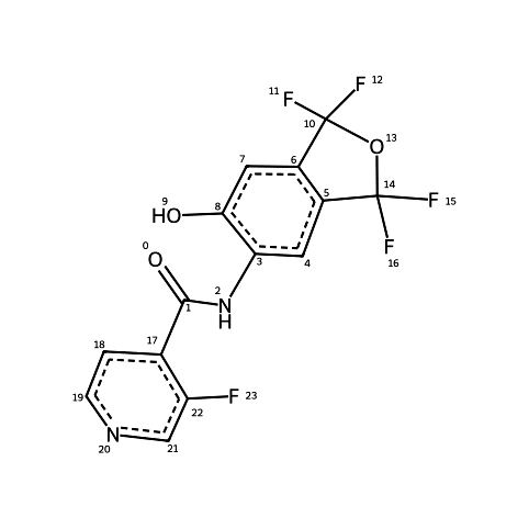 O=C(Nc1cc2c(cc1O)C(F)(F)OC2(F)F)c1ccncc1F